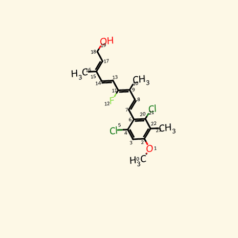 COc1cc(Cl)c(C=CC(C)=C(F)C=CC(C)=CCO)c(Cl)c1C